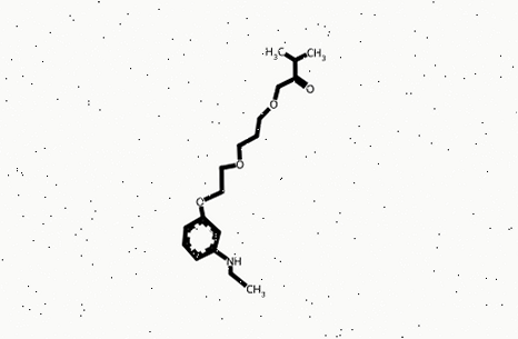 CCNc1cccc(OCCOCCCOCC(=O)C(C)C)c1